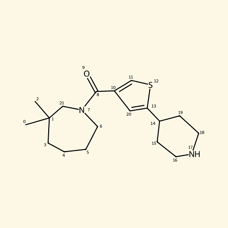 CC1(C)CCCCN(C(=O)c2csc(C3CCNCC3)c2)C1